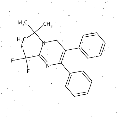 CC(C)(C)N1[CH]C(c2ccccc2)=C(c2ccccc2)N=C1C(F)(F)F